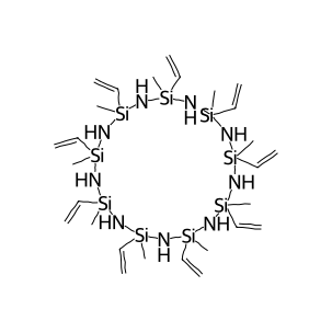 C=C[Si]1(C)N[Si](C)(C=C)N[Si](C)(C=C)N[Si](C)(C=C)N[Si](C)(C=C)N[Si](C)(C=C)N[Si](C)(C=C)N[Si](C)(C=C)N[Si](C)(C=C)N1